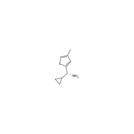 Cc1csc([C@H](N)C2CC2)c1